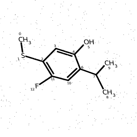 CSc1cc(O)c(C(C)C)cc1F